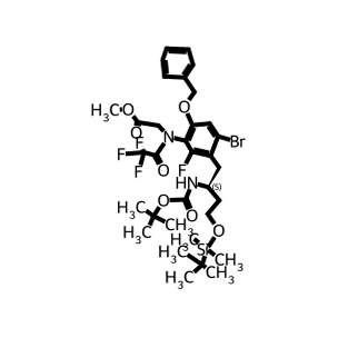 COC(=O)CN(C(=O)C(F)(F)F)c1c(OCc2ccccc2)cc(Br)c(C[C@@H](CCO[Si](C)(C)C(C)(C)C)NC(=O)OC(C)(C)C)c1F